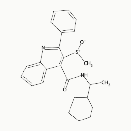 CC(NC(=O)c1c([S+](C)[O-])c(-c2ccccc2)nc2ccccc12)C1CCCCC1